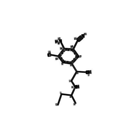 CCC(C)NCC(O)c1cc(Cl)c(N)c(C#N)c1